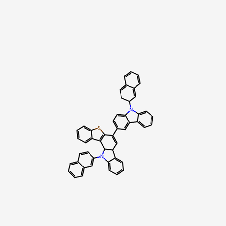 C1=C(c2ccc3c(c2)c2ccccc2n3C2C=c3ccccc3=CC2)c2sc3ccccc3c2C2C1c1ccccc1N2c1ccc2ccccc2c1